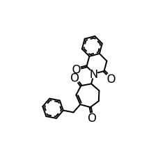 O=C1CCC(N2C(=O)Cc3ccccc3C2=O)C(=O)C=C1Cc1ccccc1